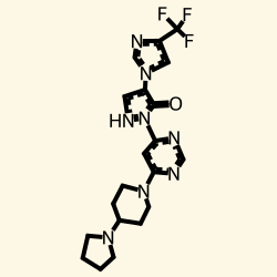 O=c1c(-n2cnc(C(F)(F)F)c2)c[nH]n1-c1cc(N2CCC(N3CCCC3)CC2)ncn1